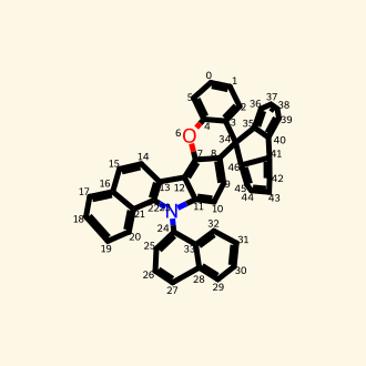 c1ccc2c(c1)Oc1c(ccc3c1c1ccc4ccccc4c1n3-c1cccc3ccccc13)C21c2ccccc2-c2ccccc21